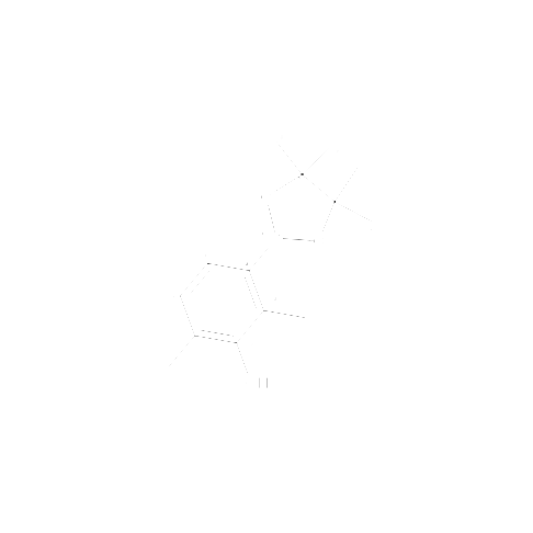 Cc1ccc(B2OC(C)(C)C(C)(C)O2)c(C)c1O